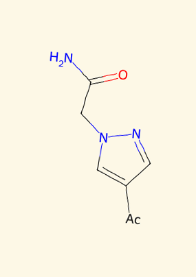 CC(=O)c1cnn(CC(N)=O)c1